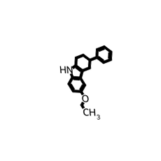 CCOc1ccc2[nH]c3c(c2c1)CC(c1ccccc1)CC3